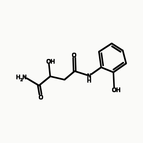 NC(=O)C(O)CC(=O)Nc1ccccc1O